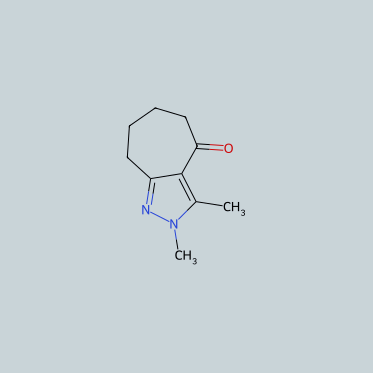 Cc1c2c(nn1C)CCCCC2=O